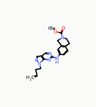 C=CCCn1ncc2cnc(Nc3ccc4c(c3)CN(C(=O)OC(C)(C)C)CC4)nc21